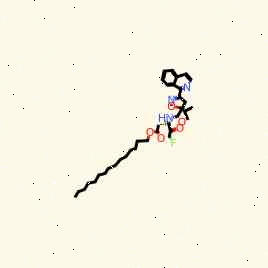 CCCCCCCCCCCCCCCOC(=O)C[C@H](NC(=O)[C@]1(C(C)C)CC(c2nccc3ccccc23)=NO1)C(=O)CF